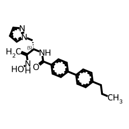 C=C(NO)[C@H](Cn1cccn1)NC(=O)c1ccc(-c2ccc(CCC)cc2)cc1